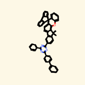 CC1(C)c2ccc(-c3nc(-c4ccccc4)nc(-c4ccc(-c5ccccc5)cc4)n3)cc2-c2ccc3c(c21)Oc1ccccc1C31c2ccccc2-c2ccccc21